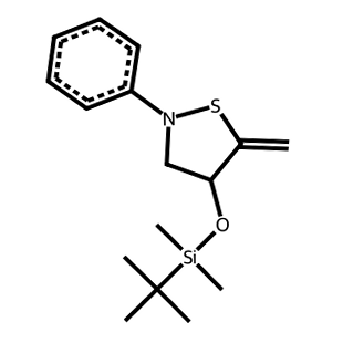 C=C1SN(c2ccccc2)CC1O[Si](C)(C)C(C)(C)C